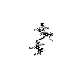 COc1cc(-c2cn(C)c(=O)c3cnccc23)cc(OC)c1CN1CCN(CCCCCOc2cc(-c3scnc3C)ccc2CNC(=O)[C@@H]2C[C@@H](O)CN2C(=O)[C@@H](NC(=O)C2(F)CC2)C(C)(C)C)CC1